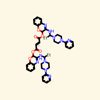 CCC(NC1=Nc2ccccc2OC1OC(=O)/C=C/C(=O)OC1Oc2ccccc2N=C1NC(CC)N1CCN(c2ccccn2)CC1)N1CCN(c2ccccn2)CC1